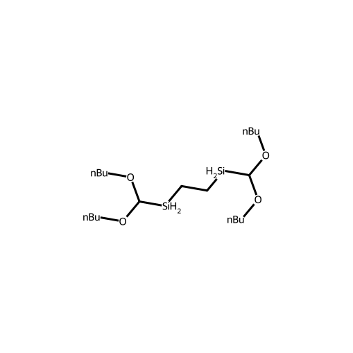 CCCCOC(OCCCC)[SiH2]CC[SiH2]C(OCCCC)OCCCC